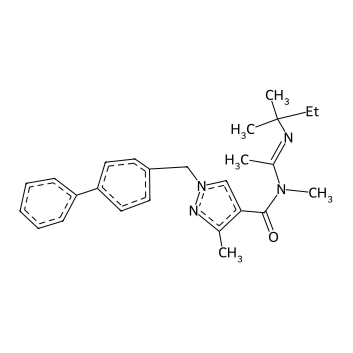 CCC(C)(C)/N=C(\C)N(C)C(=O)c1cn(Cc2ccc(-c3ccccc3)cc2)nc1C